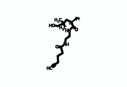 C#CCCCC(=O)NCCNC(=O)[C@@H](CC(C)(C)CO)C(C)C